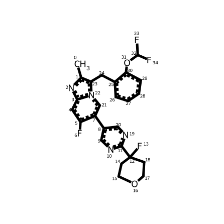 Cc1nc2cc(F)c(-c3cnc(C4(F)CCOCC4)nc3)cn2c1Cc1ccccc1OC(F)F